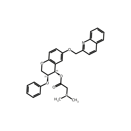 CN(C)CC(=O)O[C@@H]1c2cc(OCc3ccc4ccccc4n3)ccc2OC[C@@H]1Oc1ccccc1